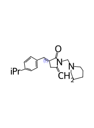 C=C1C/C(=C\c2ccc(C(C)C)cc2)C(=O)N1CN1CCCCC1